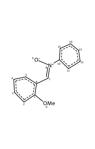 COc1ccccc1C=[N+]([O-])c1ccccc1